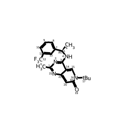 Cc1nc(N[C@H](C)c2cccc(C(F)(F)F)c2)c2cn(C(C)(C)C)c(=O)cc2n1